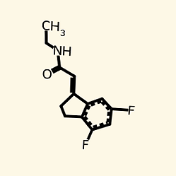 CCNC(=O)C=C1CCc2c(F)cc(F)cc21